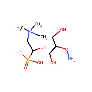 C[N+](C)(C)CC(O)P(=O)(O)O.NOC(CO)CO